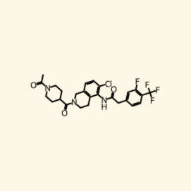 CC(=O)N1CCC(C(=O)N2CCc3c(ccc(Cl)c3NC(=O)Cc3ccc(C(F)(F)F)c(F)c3)C2)CC1